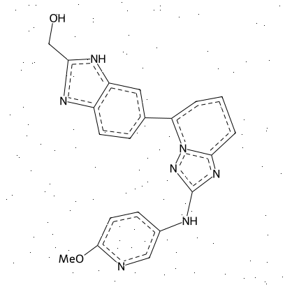 COc1ccc(Nc2nc3cccc(-c4ccc5nc(CO)[nH]c5c4)n3n2)cn1